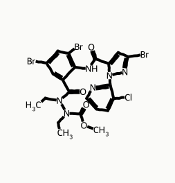 CCN(C(=O)OC)N(CC)C(=O)c1cc(Br)cc(Br)c1NC(=O)c1cc(Br)nn1-c1ncccc1Cl